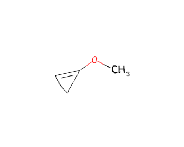 COC1=CC1